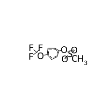 CS(=O)(=O)Oc1ccc(OC(F)(F)F)cc1